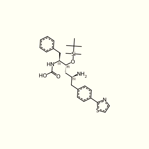 CC(C)(C)[Si](C)(C)O[C@H](C[C@@H](N)Cc1ccc(-c2nccs2)cc1)[C@H](Cc1ccccc1)NC(=O)O